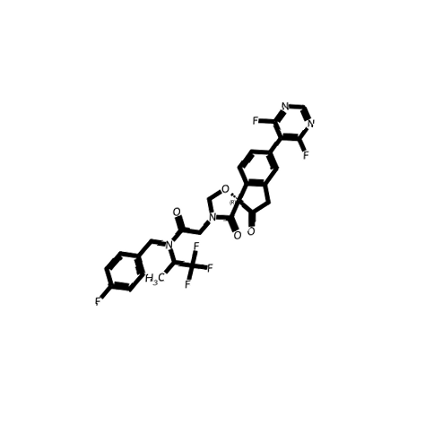 CC(N(Cc1ccc(F)cc1)C(=O)CN1CO[C@]2(C(=O)Cc3cc(-c4c(F)ncnc4F)ccc32)C1=O)C(F)(F)F